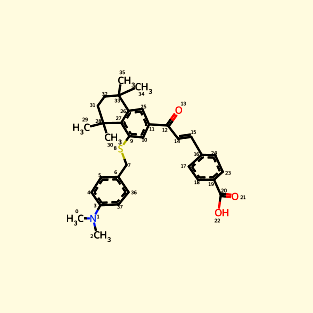 CN(C)c1ccc(CSc2cc(C(=O)/C=C/c3ccc(C(=O)O)cc3)cc3c2C(C)(C)CCC3(C)C)cc1